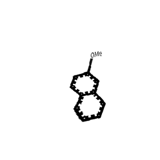 COc1[c]cc2ccccc2c1